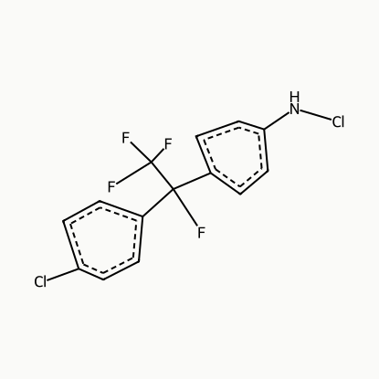 FC(F)(F)C(F)(c1ccc(Cl)cc1)c1ccc(NCl)cc1